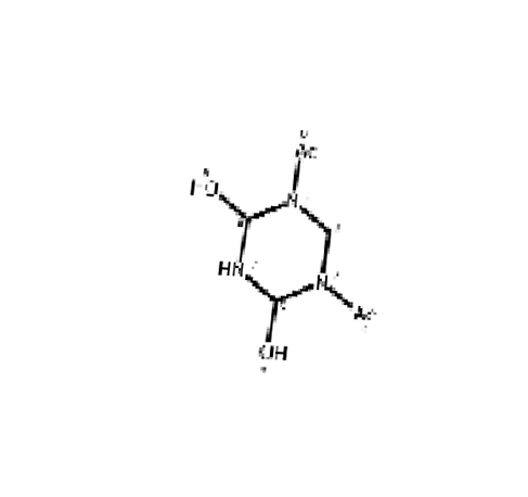 CC(=O)N1CN(C(C)=O)C(O)NC1O